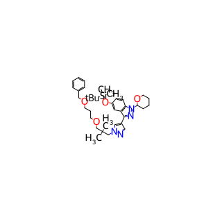 CC(C)(COCCCOCc1ccccc1)Cn1cc(-c2nn(C3CCCCO3)c3ccc(O[Si](C)(C)C(C)(C)C)cc23)cn1